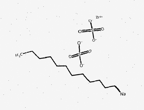 CCCCCCCCCCC[CH2][Na].O=S(=O)([O-])[O-].O=S(=O)([O-])[O-].[Zr+4]